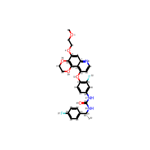 COCCOc1cc2nccc(Oc3ccc(NC(=O)N[C@H](C)c4ccc(F)cc4)cc3F)c2c2c1OCCO2